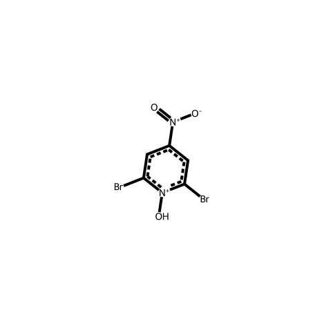 O=[N+]([O-])c1cc(Br)[n+](O)c(Br)c1